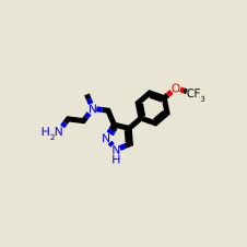 CN(CCN)Cc1n[nH]cc1-c1ccc(OC(F)(F)F)cc1